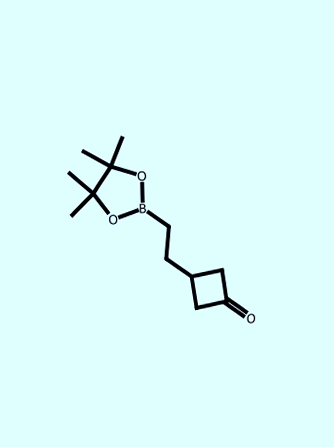 CC1(C)OB(CCC2CC(=O)C2)OC1(C)C